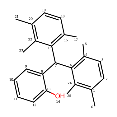 Cc1ccc(C)c(C(c2ccccc2O)c2c(C)ccc(C)c2C)c1C